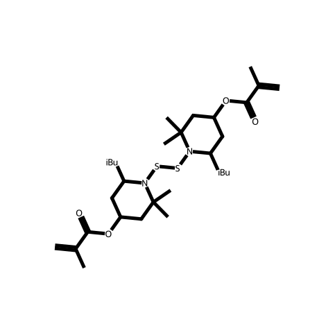 C=C(C)C(=O)OC1CC(C(C)CC)N(SSN2C(C(C)CC)CC(OC(=O)C(=C)C)CC2(C)C)C(C)(C)C1